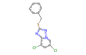 Clc1cc(Cl)c2nc(SCc3ccccc3)nn2c1